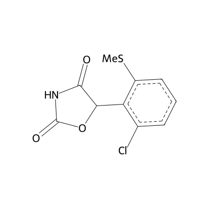 CSc1cccc(Cl)c1C1OC(=O)NC1=O